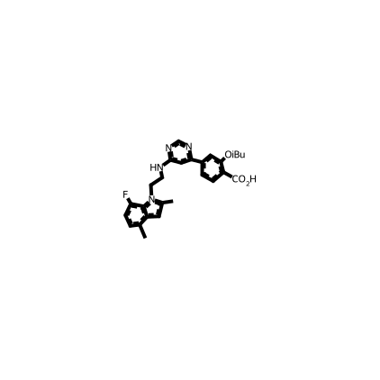 Cc1ccc(F)c2c1cc(C)n2CCNc1cc(-c2ccc(C(=O)O)c(OCC(C)C)c2)ncn1